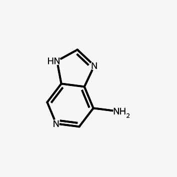 Nc1cncc2[nH]cnc12